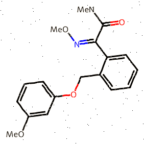 CNC(=O)C(=NOC)c1ccccc1COc1cccc(OC)c1